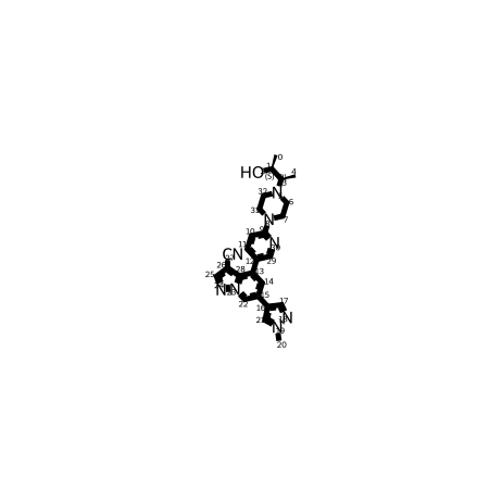 C[C@H](O)[C@@H](C)N1CCN(c2ccc(-c3cc(-c4cnn(C)c4)cn4ncc(C#N)c34)cn2)CC1